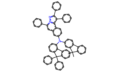 CC1(C)c2ccccc2-c2ccc(N(c3ccc4c(c3)cc(-c3ccccc3)n3nc(-c5ccccc5)c(-c5ccccc5)c43)c3cccc4c3-c3ccccc3C4(c3ccccc3)c3ccccc3)cc21